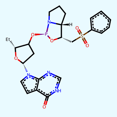 CC[C@H]1O[C@@H](n2ccc3c(=O)[nH]cnc32)CC1O[P@]1O[C@@H](CS(=O)(=O)c2ccccc2)[C@H]2CCCN21